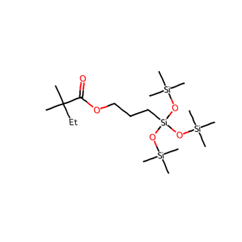 CCC(C)(C)C(=O)OCCC[Si](O[Si](C)(C)C)(O[Si](C)(C)C)O[Si](C)(C)C